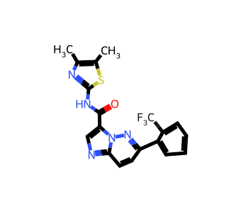 Cc1nc(NC(=O)c2cnc3ccc(-c4ccccc4C(F)(F)F)nn23)sc1C